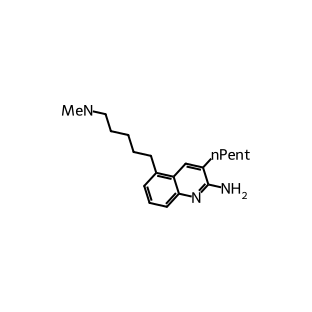 CCCCCc1cc2c(CCCCCNC)cccc2nc1N